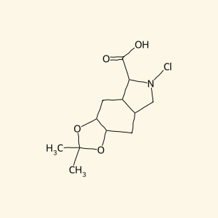 CC1(C)OC2CC3CN(Cl)C(C(=O)O)C3CC2O1